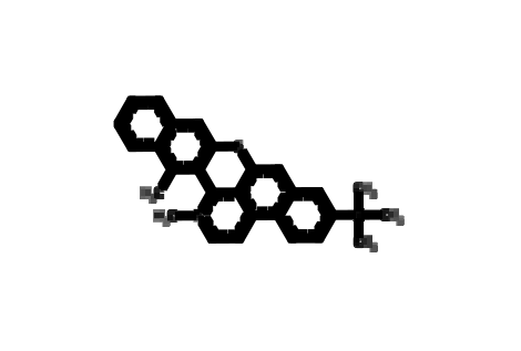 Cc1c2c(cc3ccccc13)Sc1cc3cc([Si](C)(C)C)ccc3c3cc[n+](C)c-2c13